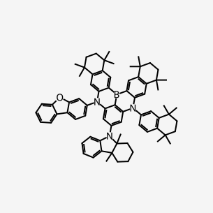 CC1(C)CCC(C)(C)c2cc(N3c4cc5c(cc4B4c6cc7c(cc6N(c6ccc8c(c6)oc6ccccc68)c6cc(N8c9ccccc9C9(C)CCCCC89C)cc3c64)C(C)(C)CCC7(C)C)C(C)(C)CCC5(C)C)ccc21